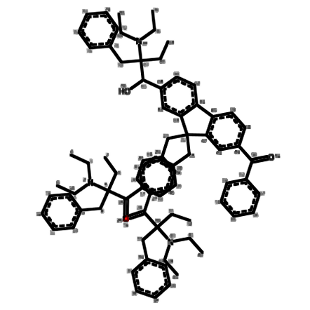 CCN(CC)C(CC)(Cc1ccccc1)C(=O)c1ccc(CC2(Cc3ccc(C(=O)C(CC)(Cc4ccccc4)N(CC)CC)cc3)c3cc(C(=O)c4ccccc4)ccc3-c3ccc(C(O)C(CC)(Cc4ccccc4)N(CC)CC)cc32)cc1